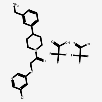 NCc1cccc(C2CCN(C(=O)COc3cncc(Cl)c3)CC2)c1.O=C(O)C(F)(F)F.O=C(O)C(F)(F)F